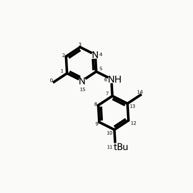 Cc1ccnc(Nc2ccc(C(C)(C)C)cc2C)n1